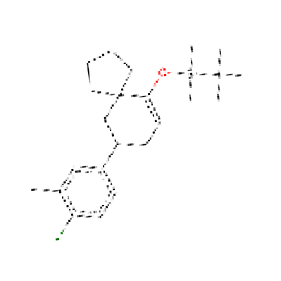 Cc1cc(C2CC=C(O[Si](C)(C)C(C)(C)C)C3(CCCC3)C2)ccc1F